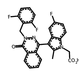 Cc1c(-c2nn(Cc3c(F)cccc3F)c(=O)c3ccccc23)c2cc(F)ccc2n1CC(=O)O